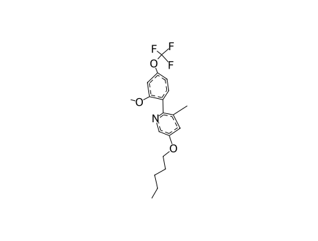 CCCCCOc1cnc(-c2ccc(OC(F)(F)F)cc2OC)c(C)c1